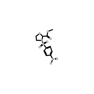 COC(=O)C1SCCN1S(=O)(=O)c1ccc([N+](=O)[O-])cc1